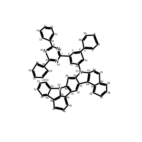 c1ccc(-c2cc(-c3nc(-c4ccccc4)nc(-c4ccccc4)n3)cc(-n3c4cc5c(cc4c4c6ccccc6ccc43)c3cccc4c6ccccc6n5c43)c2)cc1